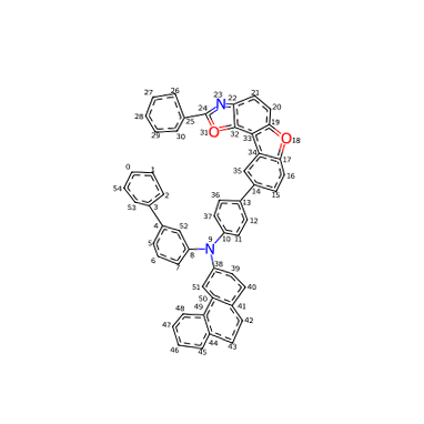 c1ccc(-c2cccc(N(c3ccc(-c4ccc5oc6ccc7nc(-c8ccccc8)oc7c6c5c4)cc3)c3ccc4ccc5ccccc5c4c3)c2)cc1